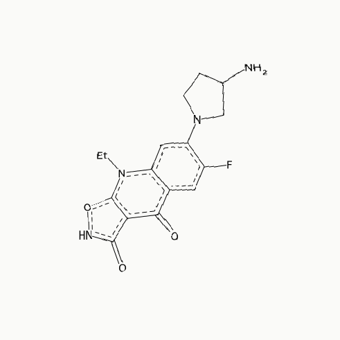 CCn1c2cc(N3CCC(N)C3)c(F)cc2c(=O)c2c(=O)[nH]oc21